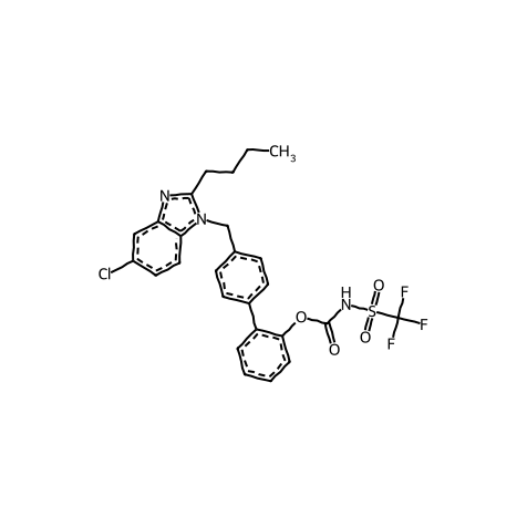 CCCCc1nc2cc(Cl)ccc2n1Cc1ccc(-c2ccccc2OC(=O)NS(=O)(=O)C(F)(F)F)cc1